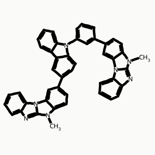 Cn1c2ccc(-c3cccc(-n4c5ccccc5c5cc(-c6ccc7c(c6)n6c8ccccc8nc6n7C)ccc54)c3)cc2n2c3ccccc3nc12